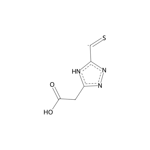 O=C(O)Cc1nnc([C]=S)[nH]1